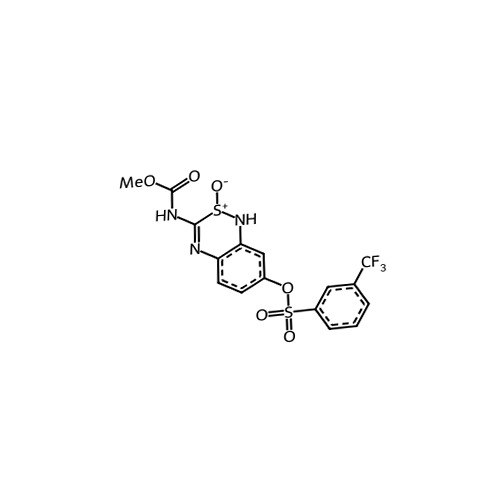 COC(=O)NC1=Nc2ccc(OS(=O)(=O)c3cccc(C(F)(F)F)c3)cc2N[S+]1[O-]